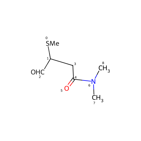 CSC(C=O)CC(=O)N(C)C